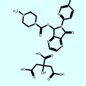 CN1CCN(C(=O)OC2c3nccnc3C(=O)N2c2ccc(Cl)cn2)CC1.O=C(O)CC(O)(CC(=O)O)C(=O)O